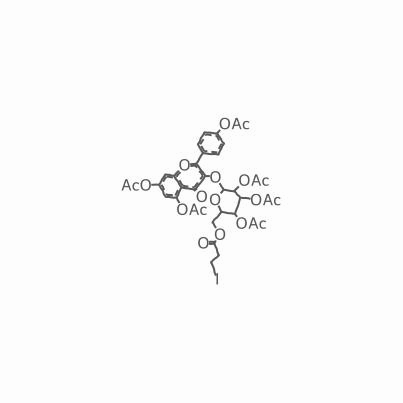 CC(=O)Oc1ccc(-c2oc3cc(OC(C)=O)cc(OC(C)=O)c3c(=O)c2OC2OC(COC(=O)CCI)C(OC(C)=O)C(OC(C)=O)C2OC(C)=O)cc1